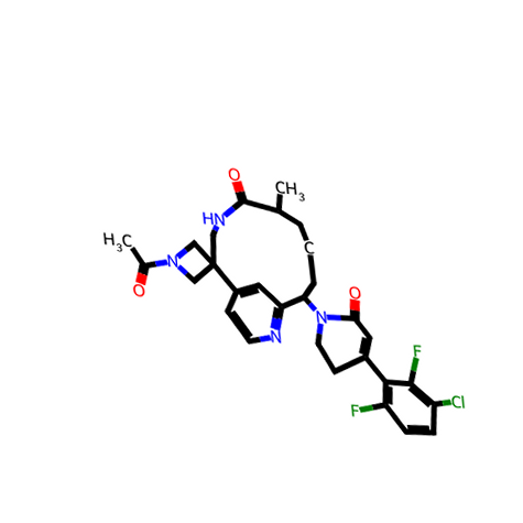 CC(=O)N1CC2(CNC(=O)C(C)CCCC(N3CCC(c4c(F)ccc(Cl)c4F)=CC3=O)c3cc2ccn3)C1